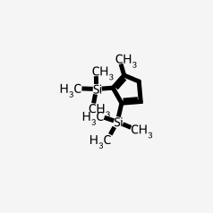 CC1=C([Si](C)(C)C)C([Si](C)(C)C)=CC1